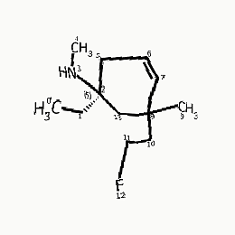 CC[C@]1(NC)CC=CC(C)(CCF)C1